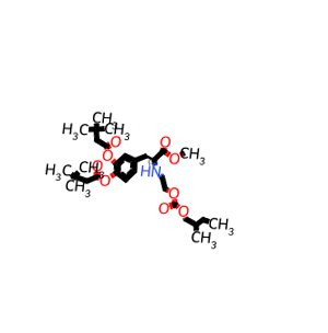 CCC(C)COC(=O)OCCN[C@@H](Cc1ccc(OC(=O)CC(C)(C)C)c(OC(=O)CC(C)(C)C)c1)C(=O)OC